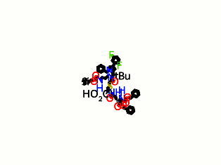 CC(C)(C)[C@H](c1cc(-c2cc(F)ccc2F)cn1Cc1ccccc1)N(CCCNC(=O)OCC[Si](C)(C)C)C(=O)CSC[C@H](NC(=O)CC[C@H](NC(=O)OCc1ccccc1)C(=O)OCc1ccccc1)C(=O)O